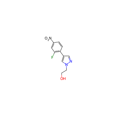 O=[N+]([O-])c1ccc(-c2cnn(CCO)c2)c(F)c1